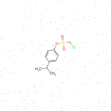 CC(C)c1ccc(OS(=O)(=O)CCl)cc1